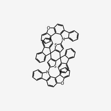 c1ccc2c(c1)-c1ccccc1C21c2cc(-n3c4ccccc4c4ccc5oc6ccccc6c5c43)sc2C2(c3ccccc3-c3ccccc32)c2cc(-n3c4ccccc4c4ccc5oc6ccccc6c5c43)sc21